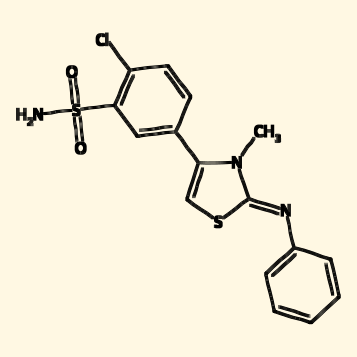 Cn1c(-c2ccc(Cl)c(S(N)(=O)=O)c2)csc1=Nc1ccccc1